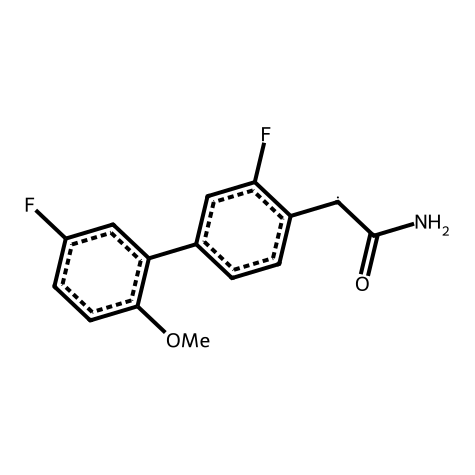 COc1ccc(F)cc1-c1ccc([CH]C(N)=O)c(F)c1